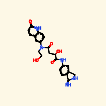 N=C1NCc2cc(NC(=O)[C@H](O)CC(=O)N(CCO)c3ccc4[nH]c(=O)ccc4c3)ccc21